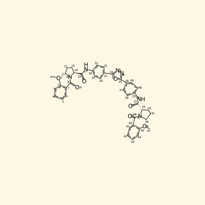 COc1ccccc1C(=O)N1CCC[C@H]1C(=O)Nc1ccc(-c2nnc(-c3ccc(NC(=O)[C@@H]4CCCN4C(=O)c4ccccc4OC)cc3)o2)cc1